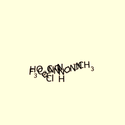 CN1CCN(c2ccc(Nc3nccc(N(Cc4cc(C(F)(F)F)ccc4Cl)C(=O)O)n3)cc2)CC1